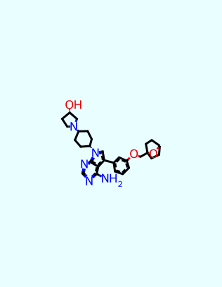 Nc1ncnc2c1c(-c1cccc(OCC34CCC(CC3)O4)c1)cn2[C@H]1CC[C@H](N2CC[C@H](O)C2)CC1